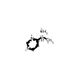 C[SH](C)c1ccncn1